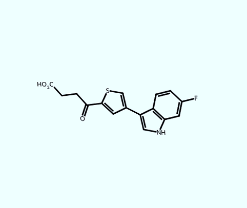 O=C(O)CCC(=O)c1cc(-c2c[nH]c3cc(F)ccc23)cs1